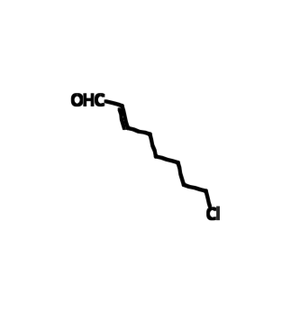 O=C/C=C/CCCCCCl